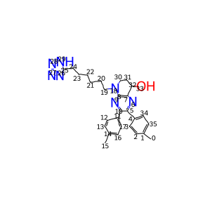 Cc1ccc(-c2nc3c(nc2-c2ccc(C)cc2)N(CCCCCCc2nnn[nH]2)CCC3O)cc1